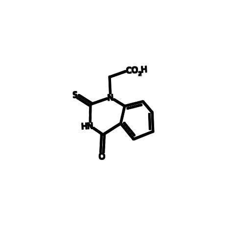 O=C(O)Cn1c(=S)[nH]c(=O)c2ccccc21